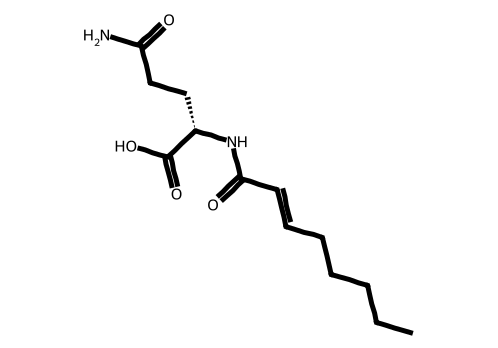 CCCCCC=CC(=O)N[C@@H](CCC(N)=O)C(=O)O